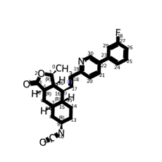 C[C@H]1OC(=O)[C@@H]2C[C@@H]3C[C@H](N=C=O)CC[C@H]3[C@H](/C=C/c3ccc(-c4cccc(F)c4)cn3)[C@H]12